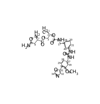 CC[C@H](COC(=O)[C@H](N)CC(N)=O)OC(=O)NCc1cccc(NC(=O)Nc2ccc(-c3cnco3)c(OC)c2)c1